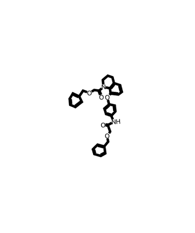 O=C(COCc1ccccc1)Nc1ccc(Oc2cccc3c2N(C(=O)COCc2ccccc2)CCC3)cc1